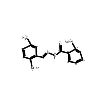 CC(=O)Nc1ccc(C)cc1/C=N/NC(=O)c1ccccc1NC(C)=O